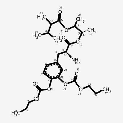 CCCOC(=O)Oc1ccc(C[C@H](N)C(=O)O[C@@H](C)C(C)OC(=O)C(C)C(C)C)cc1OC(=O)OCCC